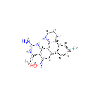 Cc1nc(N)nc2c1/C(=N\O)CC(c1ccc(F)cc1-c1cccnc1)C2